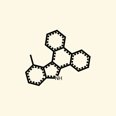 Cc1cccc2[nH]c3c4ccccc4c4ccccc4c3c12